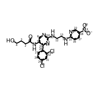 O=C(CCCO)Nc1cnc(NCCNc2ccc([N+](=O)[O-])cn2)nc1-c1ccc(Cl)cc1Cl